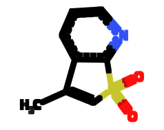 CC1=CS(=O)(=O)c2ncccc21